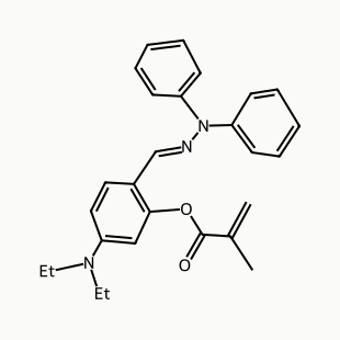 C=C(C)C(=O)Oc1cc(N(CC)CC)ccc1/C=N/N(c1ccccc1)c1ccccc1